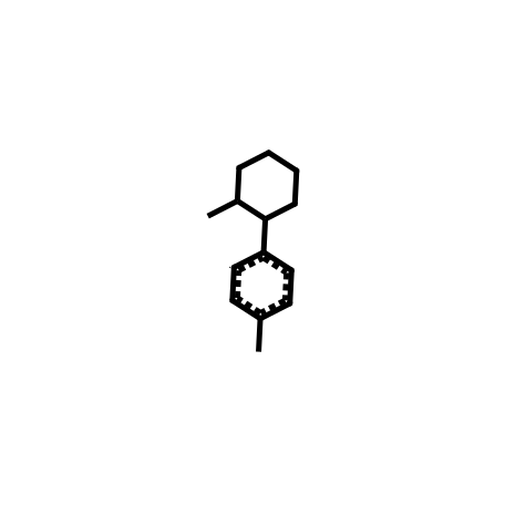 Cc1c[c]c(C2CCCCC2C)cc1